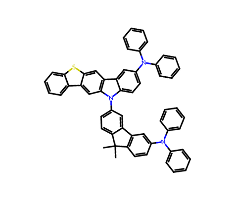 CC1(C)c2ccc(N(c3ccccc3)c3ccccc3)cc2-c2cc(-n3c4ccc(N(c5ccccc5)c5ccccc5)cc4c4cc5sc6ccccc6c5cc43)ccc21